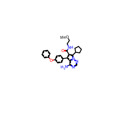 COCCNC(=O)c1c(-c2ccc(Oc3ccccc3)cc2)c2c(N)ncnn2c1C1CCCC1